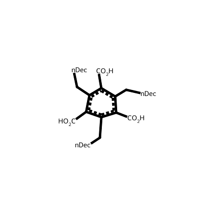 CCCCCCCCCCCc1c(C(=O)O)c(CCCCCCCCCCC)c(C(=O)O)c(CCCCCCCCCCC)c1C(=O)O